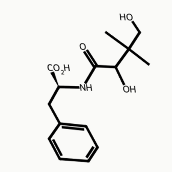 CC(C)(CO)C(O)C(=O)N[C@@H](Cc1ccccc1)C(=O)O